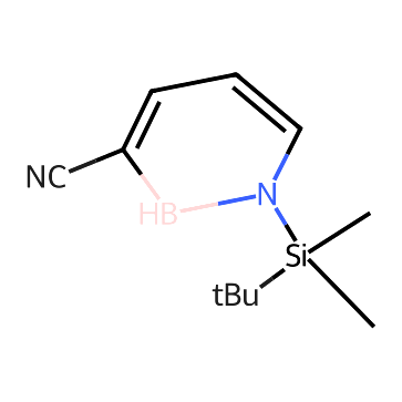 CC(C)(C)[Si](C)(C)N1BC(C#N)=CC=C1